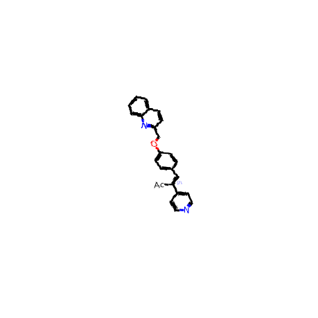 CC(=O)/C(=C\c1ccc(OCc2ccc3ccccc3n2)cc1)c1ccncc1